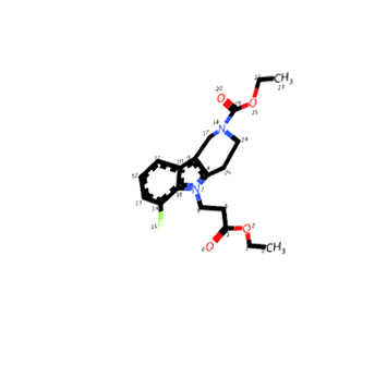 CCOC(=O)CCn1c2c(c3cccc(F)c31)CN(C(=O)OCC)CC2